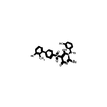 CCCCc1nc(=O)c(S(=O)(=O)c2ccc(-c3cccc(C#N)c3C)cc2)c(O)n1[C@@H](CC)c1cccc(C#N)c1